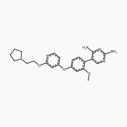 COc1cc(Oc2ccnc(OCCN3CCCC3)c2)ccc1-c1cnc(N)nc1N